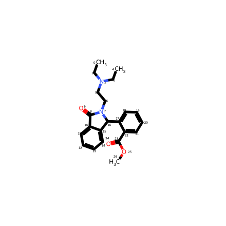 CCN(CC)CCN1C(=O)c2ccccc2C1c1ccccc1C(=O)OC